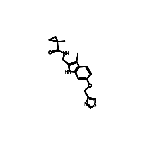 CC1(C(=O)NCc2[nH]c3cc(OCc4cscn4)ccc3c2I)CC1